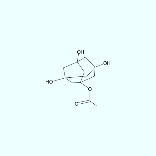 CC(=O)OC12CC3(O)CC(O)(CC(O)(C3)C1)C2